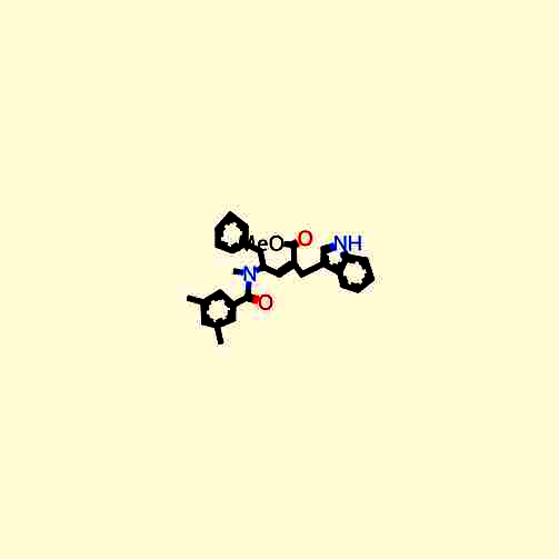 COC(=O)C(=CC(Cc1ccccc1)N(C)C(=O)c1cc(C)cc(C)c1)Cc1c[nH]c2ccccc12